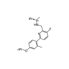 CCCOc1ccc(-c2ccc(F)c(CN[C@H](C)C(C)C)n2)c(C)c1